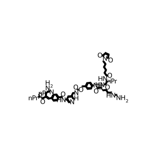 CCCN(CCC)C(=O)C1=Cc2ccc(C(=O)Nc3cncc(CNC(=O)OCc4ccc(NC(=O)[C@H](CCCCNCN)NC(=O)[C@@H](NC(=O)CCCCCN5C(=O)C=CC5=O)C(C)C)cc4)c3)cc2N=C(N)C1